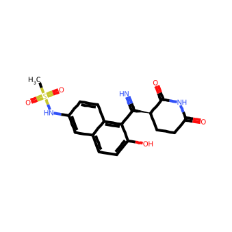 CS(=O)(=O)Nc1ccc2c(C(=N)[C@@H]3CCC(=O)NC3=O)c(O)ccc2c1